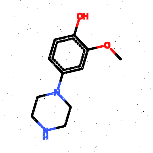 COc1cc(N2CCNCC2)ccc1O